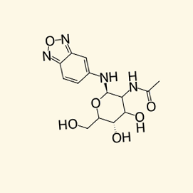 CC(=O)NC1C(O)[C@H](O)C(CO)O[C@H]1Nc1ccc2nonc2c1